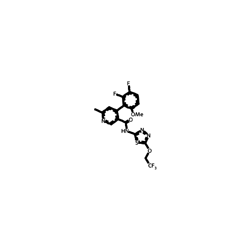 COc1ccc(F)c(F)c1-c1cc(C)ncc1C(=O)Nc1nnc(OCC(F)(F)F)s1